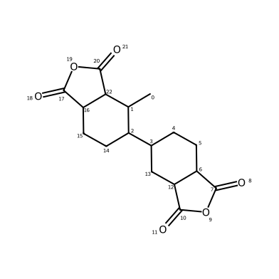 CC1C(C2CCC3C(=O)OC(=O)C3C2)CCC2C(=O)OC(=O)C21